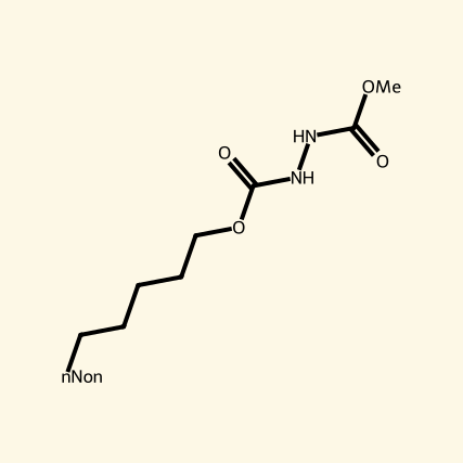 CCCCCCCCCCCCCCOC(=O)NNC(=O)OC